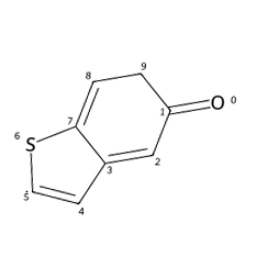 O=C1C=c2c[c]sc2=CC1